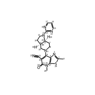 Cc1nc2c(N3CC[C@H]4[C@H](CCN4c4ncccn4)C3)c(C#N)c(=O)n(C)c2s1